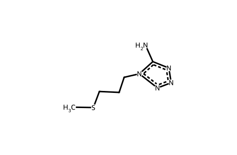 CSCCCn1nnnc1N